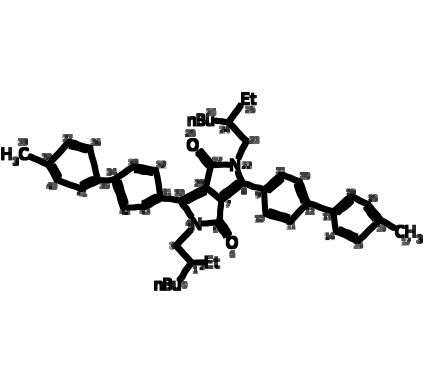 CCCCC(CC)CN1C(=O)C2=C(c3ccc(-c4ccc(C)cc4)cc3)N(CC(CC)CCCC)C(=O)C2=C1c1ccc(-c2ccc(C)cc2)cc1